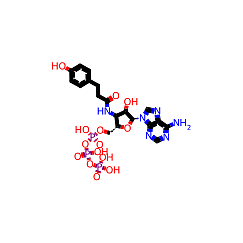 Nc1ncnc2c1ncn2[C@@H]1O[C@H](COP(=O)(O)OP(=O)(O)OP(=O)(O)O)C(NC(=O)CCc2ccc(O)cc2)C1O